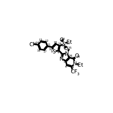 CCn1c(C(F)(F)F)cc2nc(-c3sc(-c4ccc(Cl)cc4)cc3S(=O)(=O)CC)n(C)c2c1=O